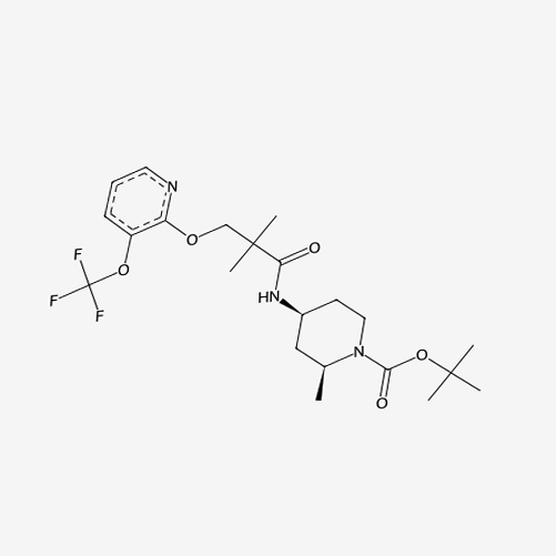 C[C@H]1C[C@@H](NC(=O)C(C)(C)COc2ncccc2OC(F)(F)F)CCN1C(=O)OC(C)(C)C